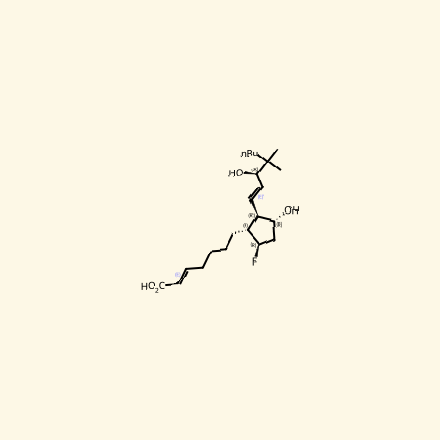 CCCCC(C)(C)[C@H](O)/C=C/[C@@H]1[C@@H](CCCC/C=C/C(=O)O)[C@H](F)C[C@H]1O